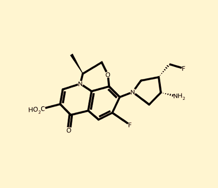 C[C@H]1COc2c(N3C[C@H](CF)[C@H](N)C3)c(F)cc3c(=O)c(C(=O)O)cn1c23